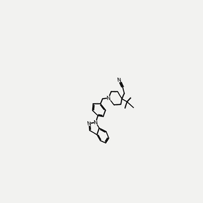 CC(C)(C)C1(CC#N)CCN(Cc2ccc(-n3ncc4ccccc43)cc2)CC1